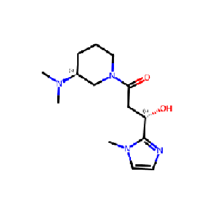 CN(C)[C@H]1CCCN(C(=O)C[C@H](O)c2nccn2C)C1